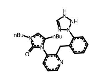 CCCCc1cn(CCCC)c(=O)n1-c1cccnc1Cc1ccccc1N1N=CNN1